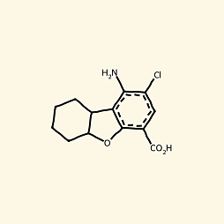 Nc1c(Cl)cc(C(=O)O)c2c1C1CCCCC1O2